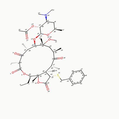 CC[C@H]1OC(=O)[C@H](C)C(=O)[C@H](C)[C@@H](O[C@@H]2O[C@H](C)C[C@H](N(C)C)[C@H]2OC(C)=O)[C@](C)(OC)C[C@@H](C)C(=O)[C@H](C)[C@H]2[C@H](SCc3ccccc3)C(=O)O[C@@]21C